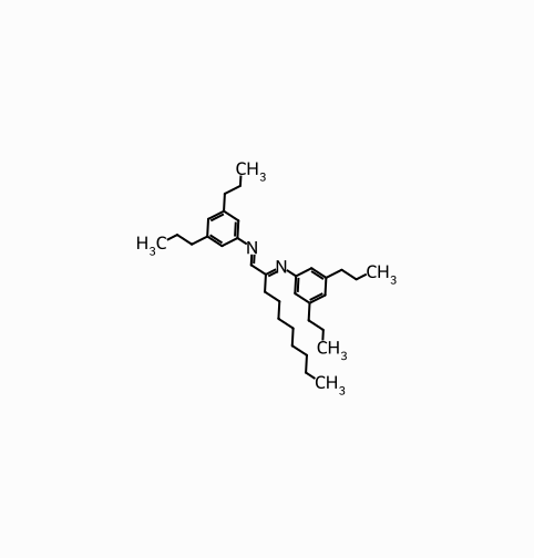 CCCCCCCCC(C=Nc1cc(CCC)cc(CCC)c1)=Nc1cc(CCC)cc(CCC)c1